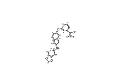 CNC(=O)c1cc(Oc2ccc3nc(Nc4ccc5c(c4)OCO5)oc3c2)ccn1